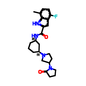 Cc1ccc(F)c2cc(C(=O)N[C@@H]3CCC[C@H](N4CCC(N5CCCC5=O)C4)C3)[nH]c12